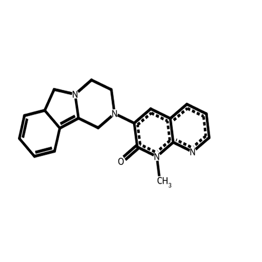 Cn1c(=O)c(N2CCN3CC4C=CC=CC4=C3C2)cc2cccnc21